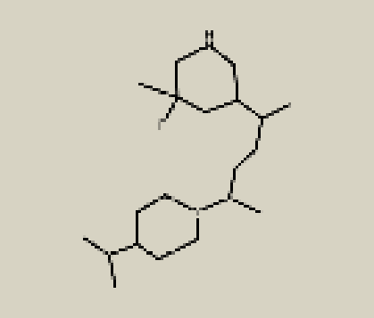 CC(C)C1CCN(C(C)CCC(C)C2CNCC(F)(F)C2)CC1